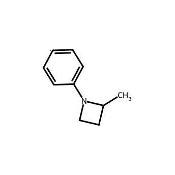 CC1CCN1c1cc[c]cc1